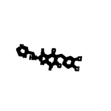 Cn1c(NCc2cnccn2)nc2c1c(=O)n(Cc1ccc(Cl)c(Cl)c1)c(=O)n2C